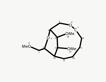 COCC1OC2COCCCCCC1C(OC)C2OC